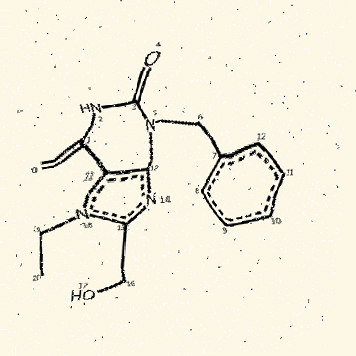 C=C1NC(=O)N(Cc2ccccc2)c2nc(CO)n(CC)c21